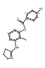 Cc1c(NC2=NCCC2)cccc1OC(=O)c1ccc(Cl)cc1